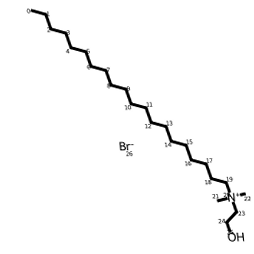 CCCCCCCCCCCCCCCCCCCC[N+](C)(C)CCO.[Br-]